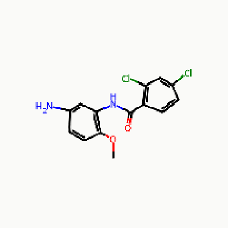 COc1ccc(N)cc1NC(=O)c1ccc(Cl)cc1Cl